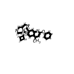 Cc1cc(Oc2ccccc2)nc2cc(C3=NC=C4C=NC=C[N+]43NC3CCC3)ccc12